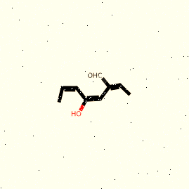 C\C=C/C(O)=C\C(C=O)=C/C